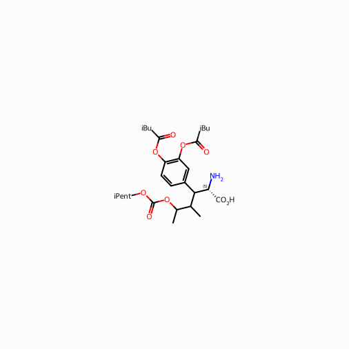 CCCC(C)OC(=O)OC(C)C(C)C(c1ccc(OC(=O)C(C)CC)c(OC(=O)C(C)CC)c1)[C@H](N)C(=O)O